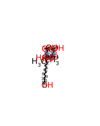 CC(C)CCCCCCCCCCO.O=C(O)/C=C/C(=O)O.O=C(O)/C=C/C(=O)O